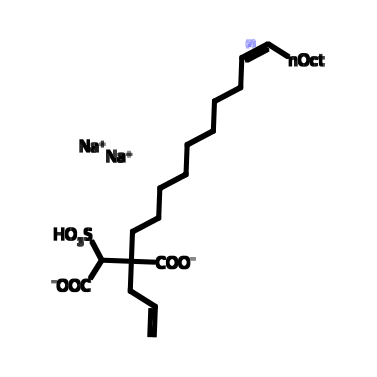 C=CCC(CCCCCCCC/C=C\CCCCCCCC)(C(=O)[O-])C(C(=O)[O-])S(=O)(=O)O.[Na+].[Na+]